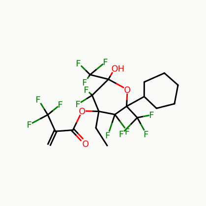 C=C(C(=O)OC1(CC)C(F)(F)C(O)(C(F)(F)F)OC(C2CCCCC2)(C(F)(F)F)C1(F)F)C(F)(F)F